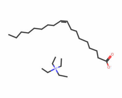 CCCCCCCC/C=C\CCCCCCCC(=O)[O-].CC[N+](CC)(CC)CC